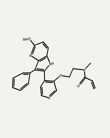 C=CC(=O)N(C)CCOc1cnccc1-c1[nH]c2ccc(OC)nc2c1-c1ccccc1